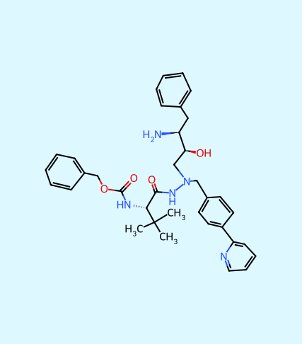 CC(C)(C)[C@H](NC(=O)OCc1ccccc1)C(=O)NN(Cc1ccc(-c2ccccn2)cc1)C[C@H](O)[C@@H](N)Cc1ccccc1